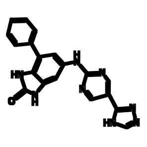 O=c1[nH]c2cc(Nc3ncc(-c4nnc[nH]4)cn3)cc(-c3ccccc3)c2[nH]1